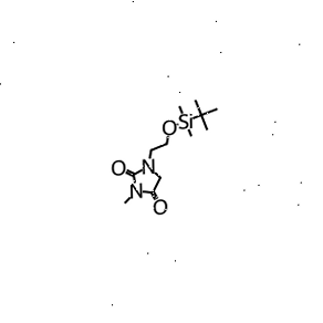 CN1C(=O)CN(CCO[Si](C)(C)C(C)(C)C)C1=O